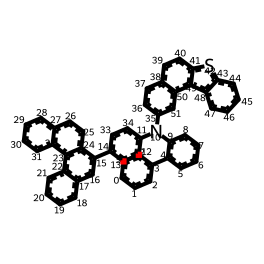 c1ccc(-c2ccccc2N(c2ccc(-c3cc4ccccc4c4c3ccc3ccccc34)cc2)c2ccc3ccc4sc5ccccc5c4c3c2)cc1